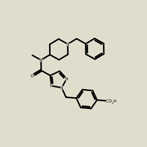 CN(C(=O)c1cnn(Cc2ccc(C(=O)O)cc2)n1)C1CCN(Cc2ccccc2)CC1